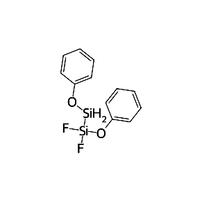 F[Si](F)(Oc1ccccc1)[SiH2]Oc1ccccc1